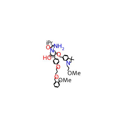 COCCCN1CC(C)(C)c2ccc(CO[C@H]3CN(C(=O)[C@@H](N)C(C)C)C[C@@H](O)[C@@H]3c3ccc(OCCCOCc4ccccc4OC)cc3)cc21